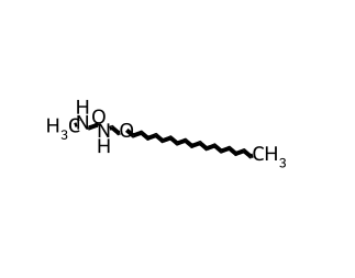 CCCCCCCCCCCCCCCCCCOCCNC(=O)CNC